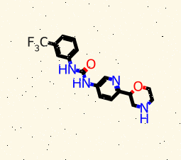 O=C(Nc1ccc(C2CNCCO2)nc1)Nc1cccc(C(F)(F)F)c1